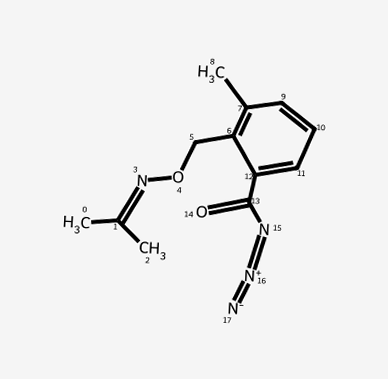 CC(C)=NOCc1c(C)cccc1C(=O)N=[N+]=[N-]